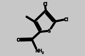 Cc1c(C(N)=O)sc(Cl)c1Cl